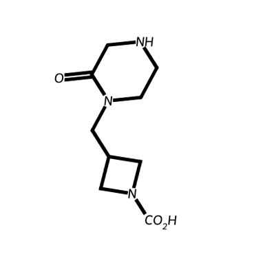 O=C(O)N1CC(CN2CCNCC2=O)C1